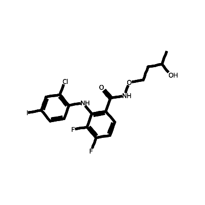 CC(O)CCONC(=O)c1ccc(F)c(F)c1Nc1ccc(I)cc1Cl